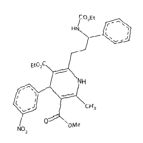 CCOC(=O)NC(CCC1=C(C(=O)OCC)C(c2cccc([N+](=O)[O-])c2)C(C(=O)OC)=C(C)N1)c1ccccc1